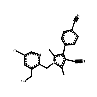 Cc1c(C#N)c(-c2ccc(C#N)cc2)c(C)n1Cc1ncc(Cl)cc1CO